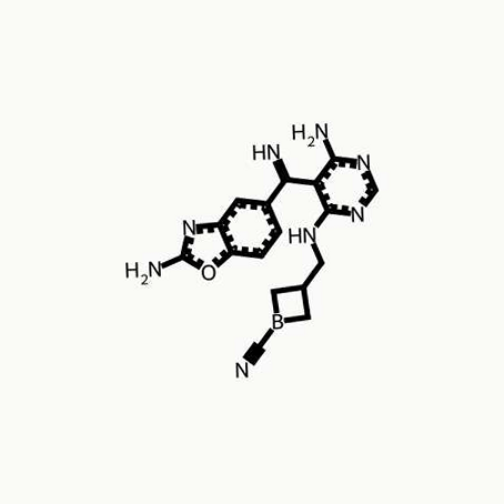 N#CB1CC(CNc2ncnc(N)c2C(=N)c2ccc3oc(N)nc3c2)C1